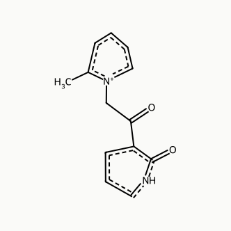 Cc1cccc[n+]1CC(=O)c1ccc[nH]c1=O